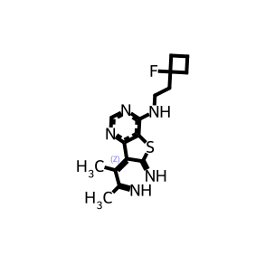 CC(=N)/C(C)=C1\C(=N)Sc2c(NCCC3(F)CCC3)ncnc21